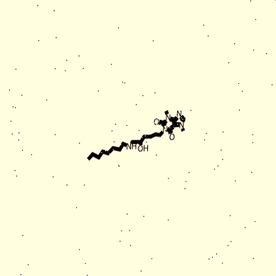 CCCCCCCCNCC(O)CCCCn1c(=O)c2c(ncn2C)n(C)c1=O